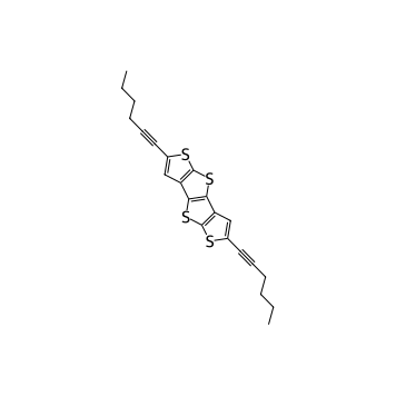 CCCCC#Cc1cc2c(s1)sc1c3cc(C#CCCCC)sc3sc21